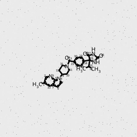 Cc1cnc2c(ccn2C2CCN(C(=O)c3ccc(C4(C(C)C)NC(=O)NC4=O)cc3)CC2)c1